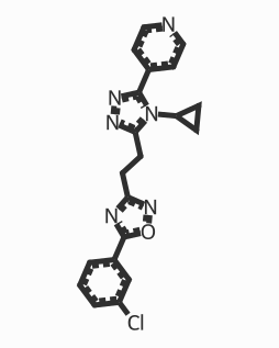 Clc1cccc(-c2nc(CCc3nnc(-c4ccncc4)n3C3CC3)no2)c1